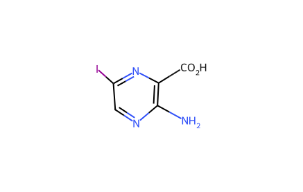 Nc1ncc(I)nc1C(=O)O